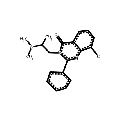 CC(Cn1c(-c2ccccc2)nc2c(Cl)cccc2c1=O)N(C)C